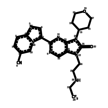 N#Cc1ccc2ncc(-c3ncc4c(n3)n(C3CCOCC3)c(=O)n4CCNCC(F)(F)F)n2c1